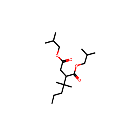 CCCC(C)(C)C(CC(=O)OCC(C)C)C(=O)OCC(C)C